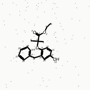 CCOC(=O)C(C)(C)Oc1ccc(O)cc1Cc1ccccc1